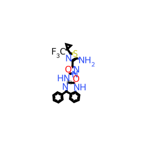 Nc1sc(C2(C(F)(F)F)CC2)nc1-c1nnc(N[C@H]2N=C(c3ccccc3)c3ccccc3NC2=O)o1